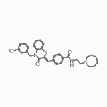 O=C(NCCN1CCCCCC1)c1ccc(/C=C2\Sc3ccccc3N(Cc3cccc(Cl)c3)C2=O)cc1